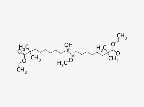 CCOC(=O)C(C)(C)CCCCCC[C@H](OC)[C@@H](O)CCCCCCC(C)(C)C(=O)OCC